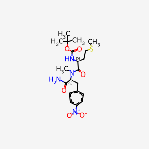 CSCC[C@H](NC(=O)OC(C)(C)C)C(=O)N(C)[C@@H](Cc1ccc([N+](=O)[O-])cc1)C(N)=O